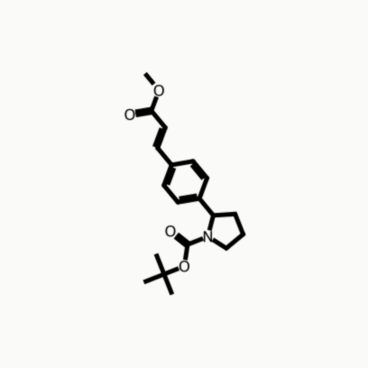 COC(=O)C=Cc1ccc(C2CCCN2C(=O)OC(C)(C)C)cc1